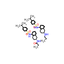 CCC(=O)N[C@@H]1CCc2c(cccc2NS(=O)(=O)c2ccc(C(C)C)cc2)C1.CCCN[C@@H]1CCc2c(cccc2NS(=O)(=O)c2ccc(C(C)C)cc2)C1